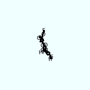 CC(=O)N(CCOCCF)c1ccc(C=CS(=O)(=O)N2CCC3(CC2)N=C(C2CCC(CCC(F)(F)F)CC2)NC3=O)c(C)c1